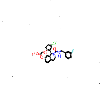 O=C(O)COc1ccc(Cl)cc1C1c2ccccc2CCN1C(=O)NCc1cccc(F)c1